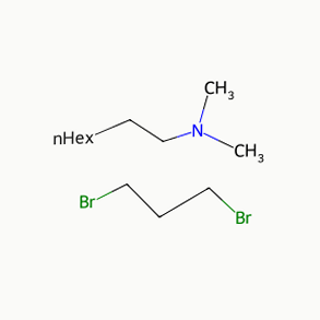 BrCCCBr.CCCCCCCCN(C)C